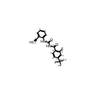 C#Cc1ccccc1NC(=O)NC(=O)c1ccc(C(F)(F)F)cc1F